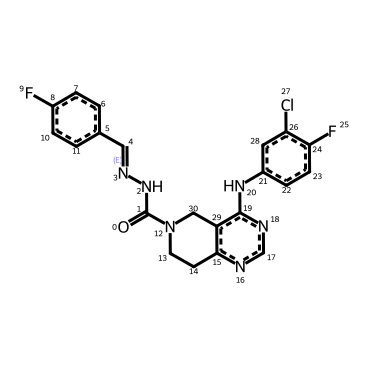 O=C(N/N=C/c1ccc(F)cc1)N1CCc2ncnc(Nc3ccc(F)c(Cl)c3)c2C1